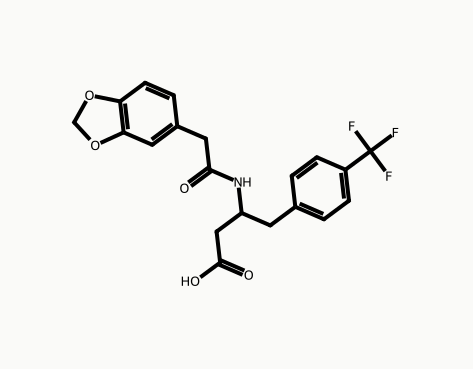 O=C(O)CC(Cc1ccc(C(F)(F)F)cc1)NC(=O)Cc1ccc2c(c1)OCO2